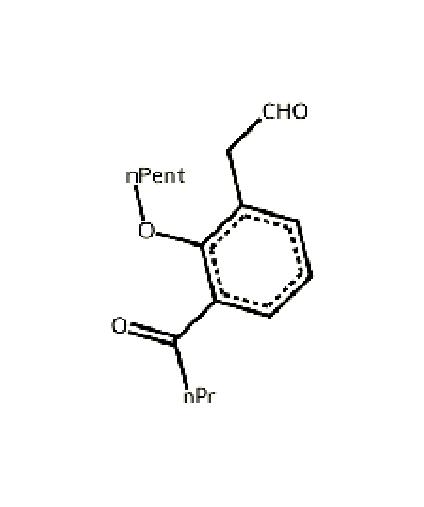 CCCCCOc1c(CC=O)cccc1C(=O)CCC